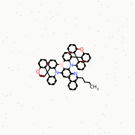 CCCCc1nc2c3c4c(cc2c2ccccc12)N1c2ccccc2C2(c5ccccc5Oc5ccccc52)c2cccc(c21)B4c1cccc2c1N3c1ccccc1C21c2ccccc2Oc2ccccc21